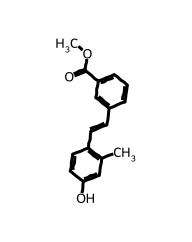 COC(=O)c1cccc(C=Cc2ccc(O)cc2C)c1